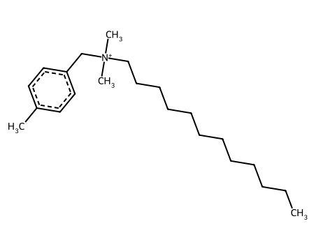 CCCCCCCCCCCC[N+](C)(C)Cc1ccc(C)cc1